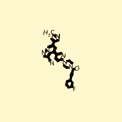 Cn1cc(-c2cc(-c3ccc(N4CCN(C(=O)C#Cc5cccc(F)c5)CC4)nc3)c3c(C#N)cnn3c2)cn1